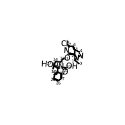 CCn1ncc2cc(Cl)nc(OCCCC(C)(O)C(NC(=O)O)c3ccccc3)c21